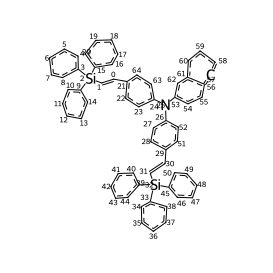 C(=C\[Si](c1ccccc1)(c1ccccc1)c1ccccc1)/c1ccc(N(c2ccc(/C=C/[Si](c3ccccc3)(c3ccccc3)c3ccccc3)cc2)c2ccc3ccccc3c2)cc1